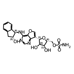 NS(=O)(=O)OC[C@H]1O[C@@H](c2coc3c(N[C@@H]4c5ccccc5C[C@H]4O)ncnc23)[C@H](O)[C@@H]1O